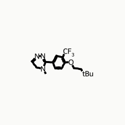 CN1CC=NN=C1c1ccc(OCCC(C)(C)C)c(C(F)(F)F)c1